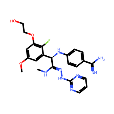 CN/C(=N\Nc1ncccn1)[C@H](Nc1ccc(C(=N)N)cc1)c1cc(OC)cc(OCCO)c1F